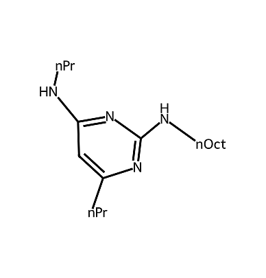 CCCCCCCCNc1nc(CCC)cc(NCCC)n1